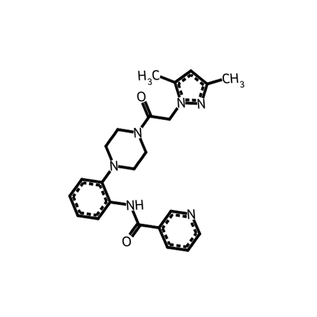 Cc1cc(C)n(CC(=O)N2CCN(c3ccccc3NC(=O)c3cccnc3)CC2)n1